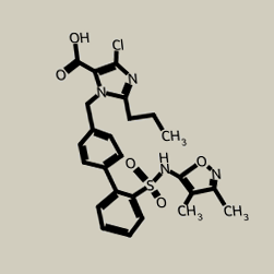 CCCc1nc(Cl)c(C(=O)O)n1Cc1ccc(-c2ccccc2S(=O)(=O)Nc2onc(C)c2C)cc1